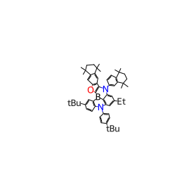 CCc1cc2c3c(c1)N(c1ccc4c(c1)C(C)(C)CCC4(C)C)c1c(oc4cc5c(cc14)C(C)(C)CCC5(C)C)B3c1cc(C(C)(C)C)ccc1N2c1ccc(C(C)(C)C)cc1